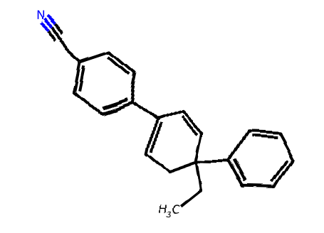 CCC1(c2ccccc2)C=CC(c2ccc(C#N)cc2)=CC1